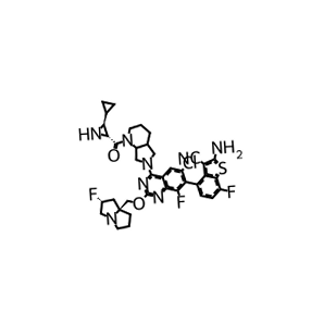 N#Cc1c(N)sc2c(F)ccc(-c3c(Cl)cc4c(N5CC6CCCN(C(=O)[C@@H]7N[C@H]7C7CC7)C6C5)nc(OC[C@@]56CCCN5C[C@H](F)C6)nc4c3F)c12